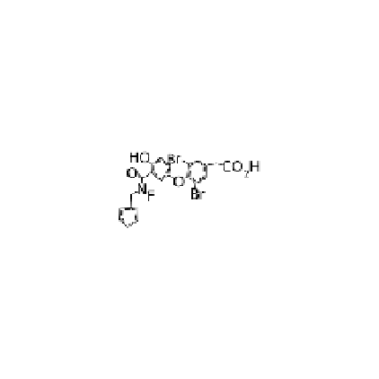 O=C(O)Cc1cc(Br)c(Oc2ccc(O)c(C(=O)N(F)Cc3ccccc3)c2)c(Br)c1